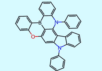 c1ccc(N2c3ccccc3B3c4ccccc4Oc4cc5c(c2c43)c2ccccc2n5-c2ccccc2)cc1